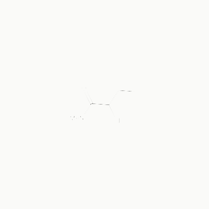 [CH2]NC(=O)C(Cl)CCl